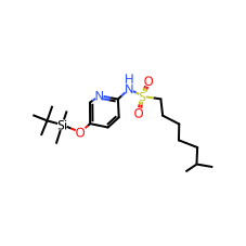 CC(C)CCCCCS(=O)(=O)Nc1ccc(O[Si](C)(C)C(C)(C)C)cn1